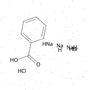 Br.Cl.O=C(O)c1ccccc1.[NaH].[NaH].[NaH]